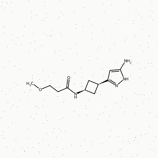 COCCC(=O)N[C@H]1C[C@@H](c2cc(N)[nH]n2)C1